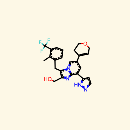 Cc1c(Cc2c(CO)nc3c(-c4ccn[nH]4)cc(C4=CCOCC4)cn23)cccc1C(F)(F)F